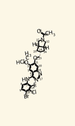 COc1cc2c(Nc3ccc(Br)c(Cl)c3F)ncnc2cc1OC[C@@H]1C[C@@H]2CN(C(C)=O)C[C@@H]2C1.Cl